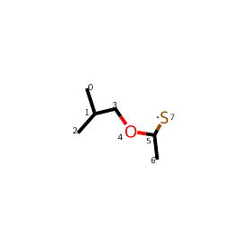 CC(C)COC(C)[S]